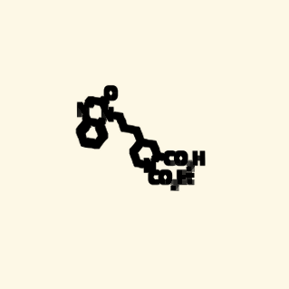 CCOC(=O)N1CCC(CCCn2c(=O)cnc3ccccc32)CC1C(=O)O